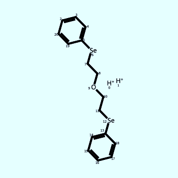 [H+].[H+].c1ccc([Se]CCOCC[Se]c2ccccc2)cc1